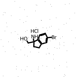 Cl.NC1(CO)CCc2cc(Br)ccc21